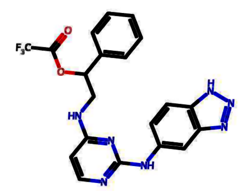 O=C(OC(CNc1ccnc(Nc2ccc3[nH]nnc3c2)n1)c1ccccc1)C(F)(F)F